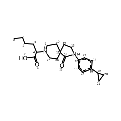 CCCCC(C(=O)O)N1CCC2(CCN(c3ccc(C4CC4)cc3)C2=O)CC1